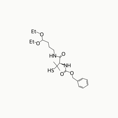 CCOC(CCCNC(=O)[C@@H](NC(=O)OCc1ccccc1)C(C)(C)S)OCC